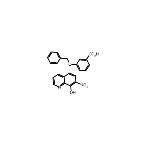 O=C(O)c1cccc(OCc2ccccc2)c1.O=[N+]([O-])c1ccc2cccnc2c1O